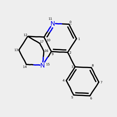 [c]1cc(-c2ccccc2)c2c(n1)C1CCN2CC1